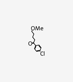 COCCCCC(=O)c1ccc(Cl)cc1